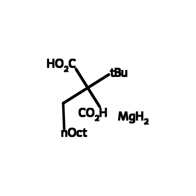 CCCCCCCCCC(C(=O)O)(C(=O)O)C(C)(C)C.[MgH2]